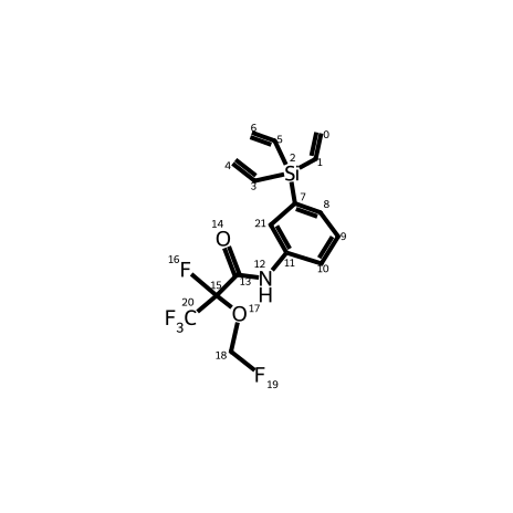 C=C[Si](C=C)(C=C)c1cccc(NC(=O)C(F)(OCF)C(F)(F)F)c1